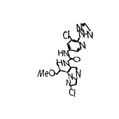 COC[C@@H](C)c1c(NC(=O)Nc2cnc(-n3nccn3)c(Cl)c2)cnc2cc(Cl)nn12